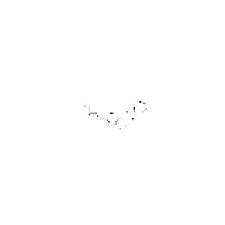 O=C(C=Cc1cnc2c(c1)CCN2S(=O)(=O)c1ccc(Cl)cc1)NO